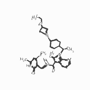 CCOC1CN(C2CCC([C@@H](C)n3c(C)c(C(=O)NCc4c(SC)cc(C)[nH]c4=O)c4cccnc43)CC2)C1